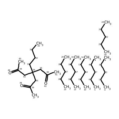 CCCCC.CCCCC.CCCCC.CCCCC.CCCCC.CCCCC.CCCCC(CC(C)=O)(CC(C)=O)CC(C)=O